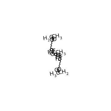 C=C(C)C(=O)OCCCCCCc1cc(F)c(C(F)(F)Oc2ccc(OC(F)(F)c3c(F)cc(CCCCCCOC(=O)C(=C)C)cc3F)c(C)c2)c(F)c1